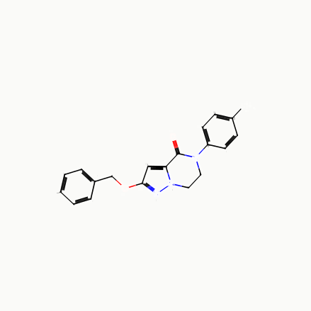 Cc1ccc(N2CCn3nc(OCc4ccccc4)cc3C2=O)cc1